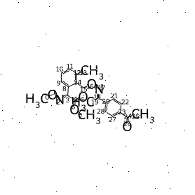 CO/N=C(/C(=O)OC)c1cccc(C)c1CO/N=C(\C)c1ccc(C(C)=O)cc1